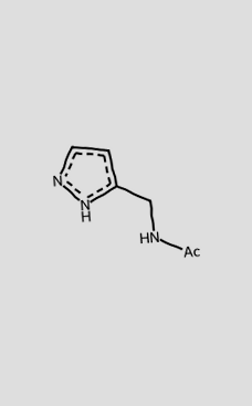 CC(=O)NCc1ccn[nH]1